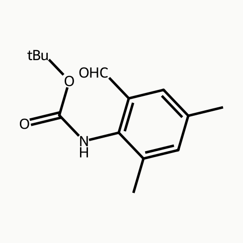 Cc1cc(C)c(NC(=O)OC(C)(C)C)c(C=O)c1